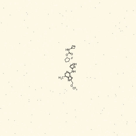 Cc1cnc(Nc2cc([C@@H]3CC[C@H](OC(=O)NC45CC(C4)C5)[C@@H]3F)[nH]n2)n2cc(COC(F)(F)F)nc12